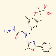 Cc1cc(CN(CC(=O)NN)Cc2nc(-c3ccccc3)oc2C)cc(C)c1OC(C)(C)C(=O)O